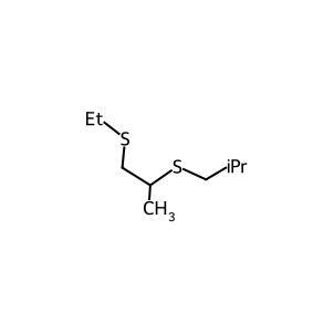 CCSCC(C)SCC(C)C